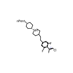 CCCCC[C@H]1CC[C@H]([SiH]2CCC(CCc3cc(F)c(/C(F)=C/Cl)c(F)c3)CC2)CC1